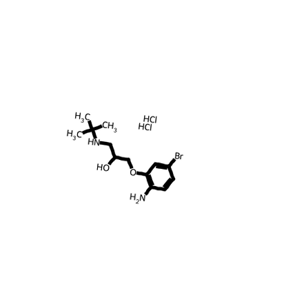 CC(C)(C)NCC(O)COc1cc(Br)ccc1N.Cl.Cl